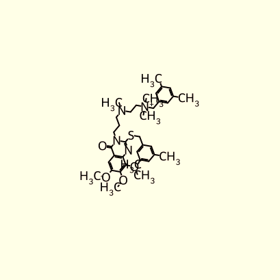 COc1cc2c(=O)n(CCCN(C)CC[N+](C)(C)Cc3cc(C)cc(C)c3)c(SCc3cc(C)cc(C)c3)nc2c(OC)c1OC